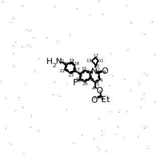 CCC(=O)OCc1cc(=O)n(C2CCC2)c2cc(-c3ccc(N)cc3)c(F)cc12